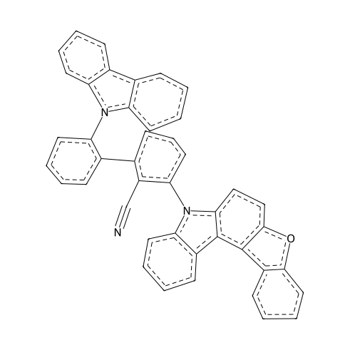 N#Cc1c(-c2ccccc2-n2c3ccccc3c3ccccc32)cccc1-n1c2ccccc2c2c3c(ccc21)oc1ccccc13